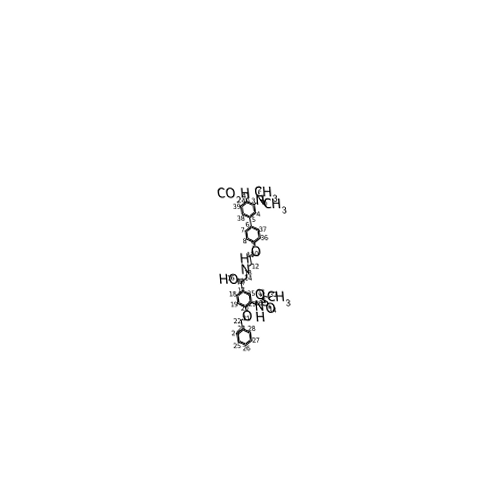 CN(C)c1cc(-c2ccc(OCCNC[C@@H](O)c3ccc(OCc4ccccc4)c(NS(C)(=O)=O)c3)cc2)ccc1C(=O)O